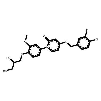 COc1cc(-n2ccc(OCc3ccc(Cl)c(F)c3)cc2=O)ccc1OCC(O)CO